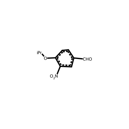 CC(C)Oc1ccc(C=O)cc1[N+](=O)[O-]